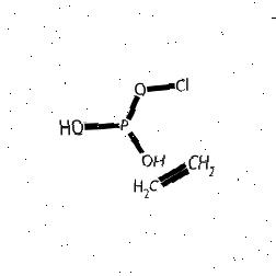 C=C.OP(O)OCl